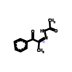 CC(=O)N/N=C(/C)C(=O)c1ccccc1